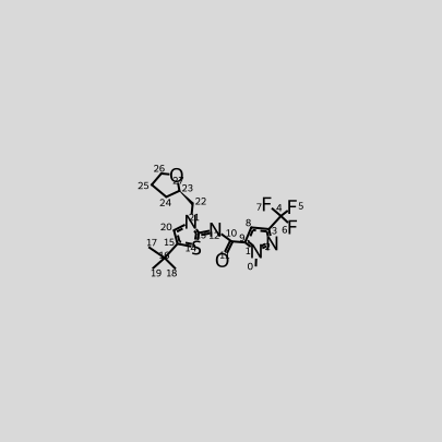 Cn1nc(C(F)(F)F)cc1C(=O)/N=c1\sc(C(C)(C)C)cn1C[C@H]1CCCO1